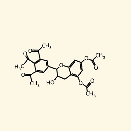 CC(=O)Oc1cc(OC(C)=O)c2c(c1)OC(c1cc(C(C)=O)c(C(C)=O)c(C(C)=O)c1)C(O)C2